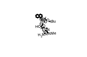 CNc1nc(N)nc2c1ncn2[C@@H]1O[C@](F)(CO[P@@](=S)(N[C@@H](C)C(=O)OCC(C)(C)C)Oc2cccc3ccccc23)[C@@H](O)[C@@]1(C)F